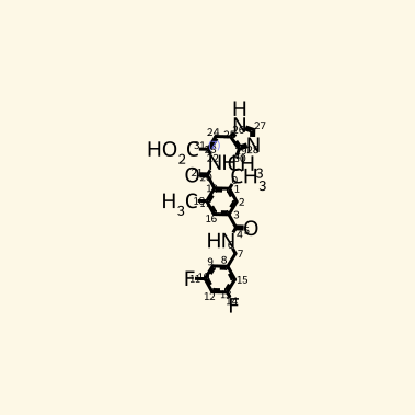 Cc1cc(C(=O)NCc2cc(F)cc(F)c2)cc(C)c1C(=O)N/C(=C\c1[nH]cnc1C)C(=O)O